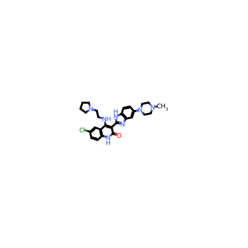 CN1CCN(c2ccc3[nH]c(-c4c(NCCN5CCCC5)c5cc(Cl)ccc5[nH]c4=O)nc3c2)CC1